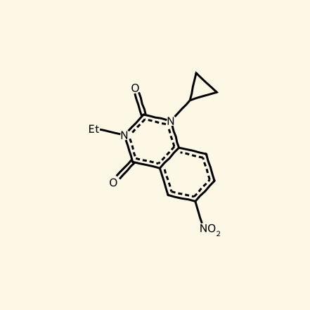 CCn1c(=O)c2cc([N+](=O)[O-])ccc2n(C2CC2)c1=O